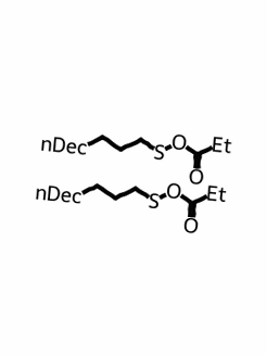 CCCCCCCCCCCCCSOC(=O)CC.CCCCCCCCCCCCCSOC(=O)CC